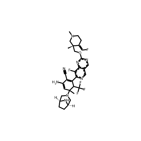 CN1CC/C(=C\F)[C@](C)(COc2ncc3cnc(C4=C(C#N)C(N)=CC(C)(N5C[C@H]6CC[C@@H](C5)N6)C4C(F)(F)F)c(F)c3n2)C1